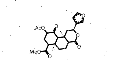 COC(=O)C1CC(OC(C)=O)C(=O)C2[C@@]1(C)CCC1C(=O)O[C@H](c3ccoc3)C[C@@]12C